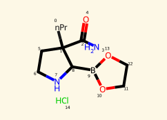 CCCC1(C(N)=O)CCNC1B1OCCO1.Cl